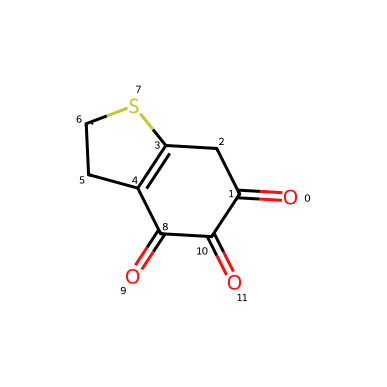 O=C1CC2=C(C[CH]S2)C(=O)C1=O